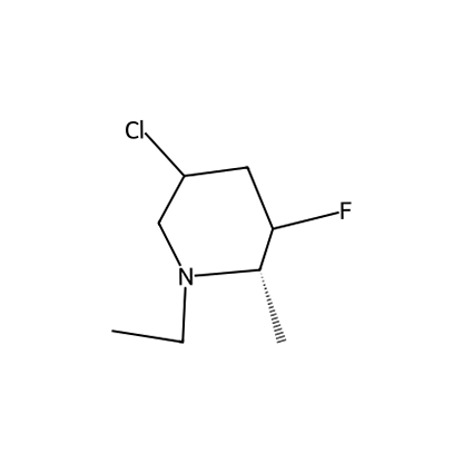 CCN1CC(Cl)CC(F)[C@@H]1C